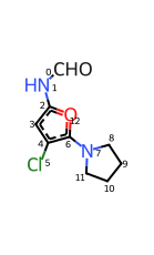 O=CNc1cc(Cl)c(N2CCCC2)o1